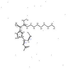 C=C(C)/C=C(\C=C/C)c1nc(C(=O)N(CC)CCCCCCCCC)cs1